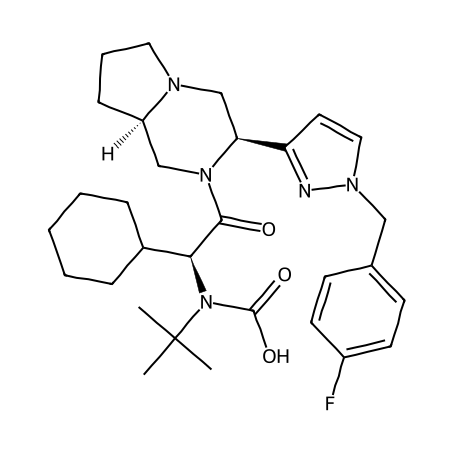 CC(C)(C)N(C(=O)O)[C@H](C(=O)N1C[C@H]2CCCN2C[C@H]1c1ccn(Cc2ccc(F)cc2)n1)C1CCCCC1